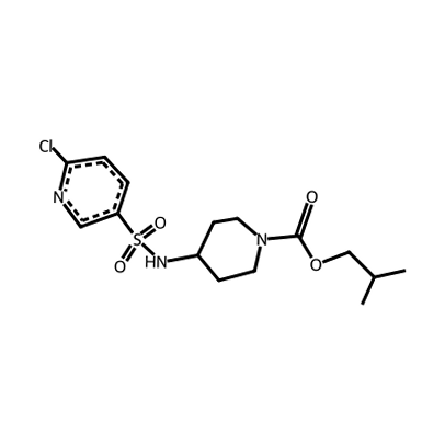 CC(C)COC(=O)N1CCC(NS(=O)(=O)c2ccc(Cl)nc2)CC1